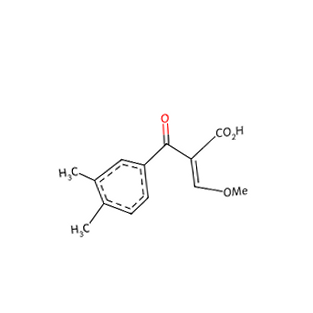 COC=C(C(=O)O)C(=O)c1ccc(C)c(C)c1